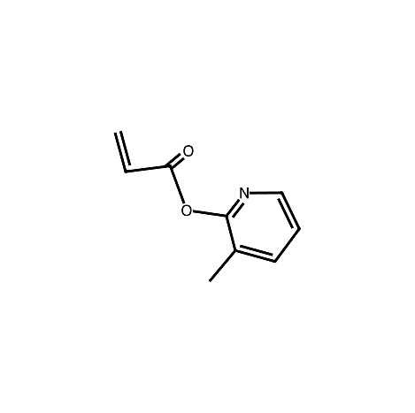 C=CC(=O)Oc1ncccc1C